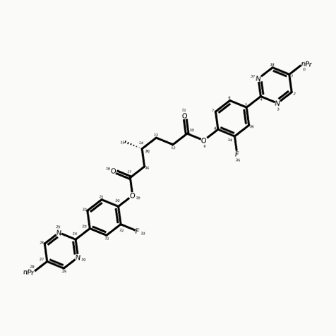 CCCc1cnc(-c2ccc(OC(=O)CC[C@@H](C)CC(=O)Oc3ccc(-c4ncc(CCC)cn4)cc3F)c(F)c2)nc1